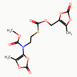 COC(=O)N(CCSC(=O)OCc1oc(=O)oc1C)c1oc(=O)oc1C